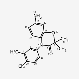 Cc1cc(N2C(=O)C(C)(C)Oc3cc(N)ccc32)ccc1Cl